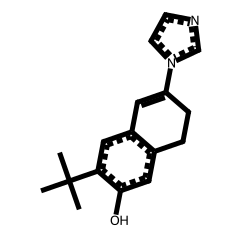 CC(C)(C)c1cc2c(cc1O)CCC(n1ccnc1)=C2